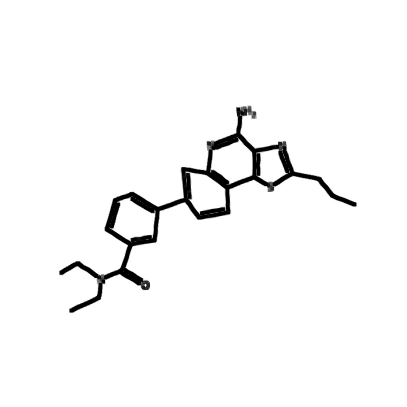 CCCc1nc2c(N)nc3cc(-c4cccc(C(=O)N(CC)CC)c4)ccc3c2s1